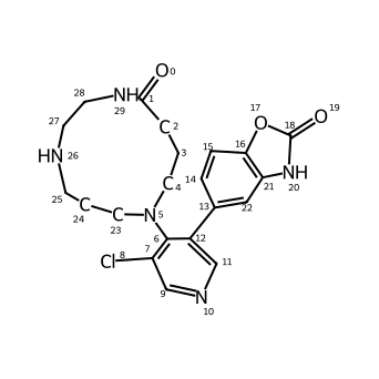 O=C1CCCN(c2c(Cl)cncc2-c2ccc3oc(=O)[nH]c3c2)CCCNCCN1